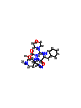 COC(=O)NC(NC(CC1CCCCC1)C(=O)NC1(C#N)CCN(C)CC1)N1CCOCC1